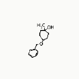 CC1(O)CCC(OCc2ccccc2)CC1